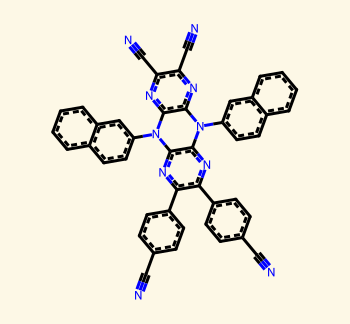 N#Cc1ccc(-c2nc3c(nc2-c2ccc(C#N)cc2)N(c2ccc4ccccc4c2)c2nc(C#N)c(C#N)nc2N3c2ccc3ccccc3c2)cc1